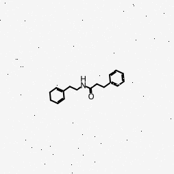 O=C(CCc1ccccc1)NCCC1=CCCC=C1